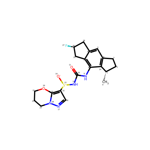 C[C@H]1CCc2cc3c(c(NC(=O)N[S+]([O-])c4cnn5c4OCCC5)c21)C[C@@H](F)C3